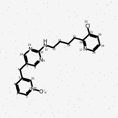 [O-][n+]1cccc(Cc2cnc(NCCCCc3ncccc3Cl)nc2)c1